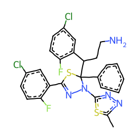 Cc1nnc(N2N=C(c3cc(Cl)ccc3F)SC2(c2ccccc2)C(CCN)c2cc(Cl)ccc2F)s1